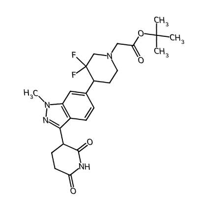 Cn1nc(C2CCC(=O)NC2=O)c2ccc(C3CCN(CC(=O)OC(C)(C)C)CC3(F)F)cc21